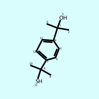 CC(C)(O)c1ccc(C(C)(C)S)cc1